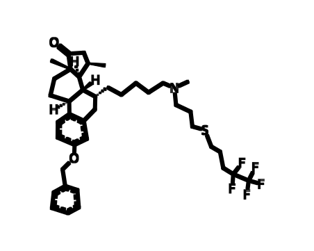 C[C@@H]1CC(=O)[C@@]2(C)CC[C@@H]3c4ccc(OCc5ccccc5)cc4C[C@@H](CCCCCN(C)CCCSCCCC(F)(F)C(F)(F)F)[C@H]3[C@H]12